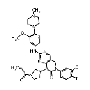 C=CC(=O)N1CCC(N2C(=O)N(c3ccc(F)c(Cl)c3)Cc3cnc(Nc4ccc(N5CCN(C)CC5)c(OC)c4)nc32)C1